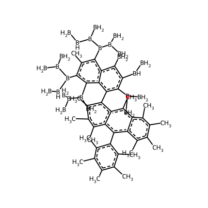 BBB(B)B(B(B)B)c1c(C)c(B(BB)B(B)B)c(B(B)B(B)B)c2c(-c3c(C)c(C)c(C)c4c(-c5c(C)c(C)c(C)c(C)c5C)c5c(C)c(C)c(C)c(C)c5c(C)c34)c(B(B)B)c(BB)c(B)c12